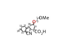 COCCOc1cc(C(=O)O)cc(-c2ccc(C)cc2C#N)c1